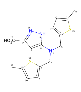 Cc1ccc(CN(Cc2ccc(C)s2)c2cc(C(=O)O)n[nH]2)s1